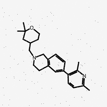 Cc1ccc(-c2ccc3c(c2)CCN(CC2CCOC(C)(C)C2)C3)c(C)n1